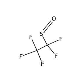 O=[S+]C(F)(F)C(F)(F)F